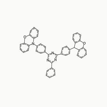 c1ccc(-c2nc(-c3ccc(C4c5ccccc5Oc5ccccc54)cc3)nc(-c3ccc(N4c5ccccc5Oc5ccccc54)cc3)n2)cc1